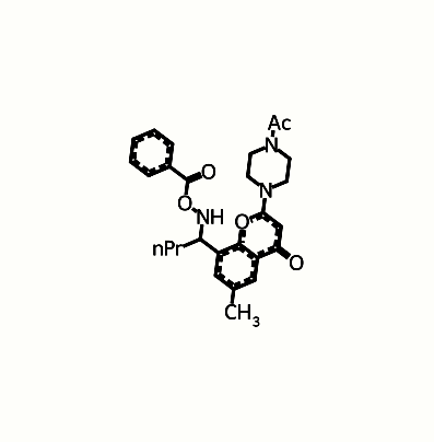 CCCC(NOC(=O)c1ccccc1)c1cc(C)cc2c(=O)cc(N3CCN(C(C)=O)CC3)oc12